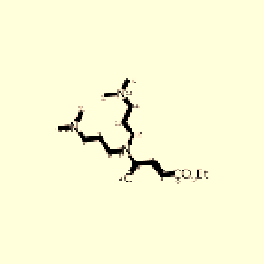 CCOC(=O)/C=C/C(=O)N(CCCN(C)C)CCCN(C)C